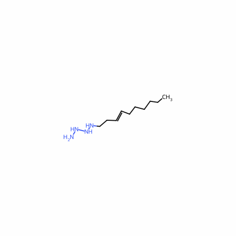 CCCCCCC=CCCNNNN